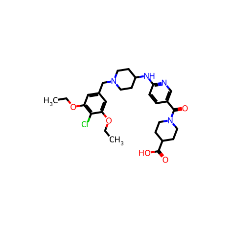 CCOc1cc(CN2CCC(Nc3ccc(C(=O)N4CCC(C(=O)O)CC4)cn3)CC2)cc(OCC)c1Cl